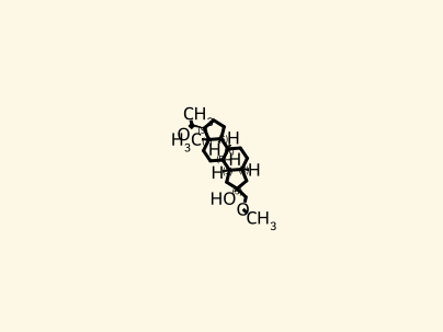 COC[C@]1(O)C[C@H]2CC[C@@H]3[C@H](CC[C@]4(C)[C@@H](C(C)=O)CC[C@@H]34)[C@H]2C1